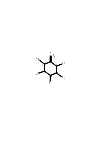 C=C1C(F)C(F)C(F)C(F)C1F